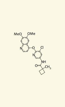 COc1cc2nccc(Oc3ncc(NC(=O)C4(C)CCC4)cc3Cl)c2cc1OC